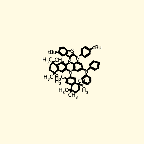 Cc1cc2c(cc1N1c3cc4c(cc3B3c5c1cc(N(c1ccccc1)c1ccccc1)cc5N(c1ccc(C(C)(C)C)cc1)c1sc5ccc(C(C)(C)C)cc5c13)C(C)(C)CCC4(C)C)C(C)(C)CCC2(C)C